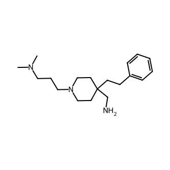 CN(C)CCCN1CCC(CN)(CCc2ccccc2)CC1